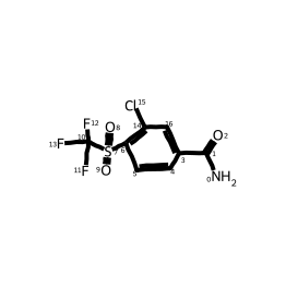 NC(=O)c1ccc(S(=O)(=O)C(F)(F)F)c(Cl)c1